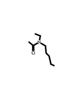 CCCCCN(CC)C(C)=O